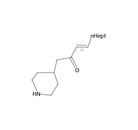 CCCCCCC/C=C/C(=O)CC1CCNCC1